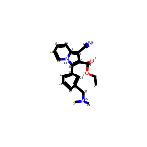 CCOC(=O)c1c(C#N)c2ccccn2c1-c1cccc(CN(C)C)c1